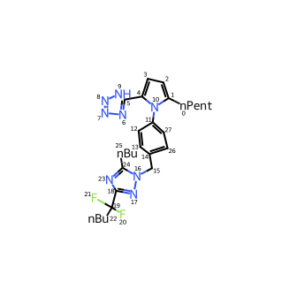 CCCCCc1ccc(-c2nnn[nH]2)n1-c1ccc(Cn2nc(C(F)(F)CCCC)nc2CCCC)cc1